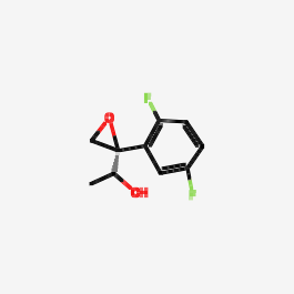 CC(O)[C@]1(c2cc(F)ccc2F)CO1